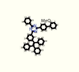 COc1ccccc1-c1ccc(-c2nc(-c3ccccc3)nc(-c3cccc(C(=C(c4ccccc4)c4ccccc4)c4ccccc4)c3)n2)cc1